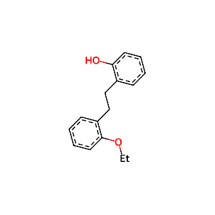 CCOc1ccccc1CCc1ccccc1O